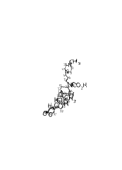 CN1CCN(CCCN(C(=O)O)[C@H]2CC[C@@]3(C)[C@H](CC[C@@H]4[C@@H]3CC[C@]3(C)[C@@H](c5ccc(=O)oc5)CC[C@]43O)C2)CC1